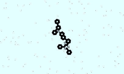 c1ccc(-c2ccc3c(c2)c2ccccc2n3-c2ccc3cc(-c4cccc5c4sc4c(-c6ccccc6)nc(-c6ccccc6)nc45)ccc3c2)cc1